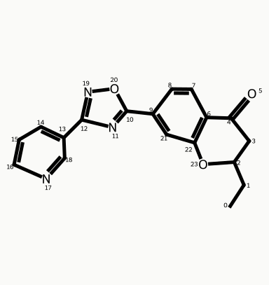 CCC1CC(=O)c2ccc(-c3nc(-c4cccnc4)no3)cc2O1